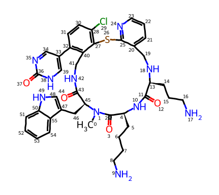 CN1C(=O)[C@H](CCCCN)NC(=O)[C@H](CCCN)NCc2cccnc2Sc2c(Cl)ccc(-c3cnc(=O)[nH]c3)c2CNC(=O)[C@@H]1Cc1c[nH]c2ccccc12